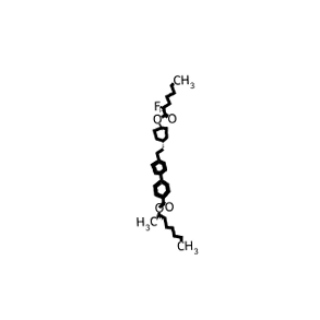 CCCCCC[C@@H](C)OC(=O)c1ccc(-c2ccc(CC[C@H]3CC[C@H](OC(=O)[C@@H](F)CCCCC)CC3)cc2)cc1